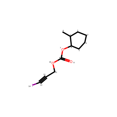 CC1CCCCC1OC(=O)OCC#CI